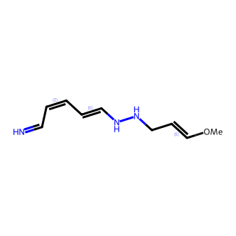 CO/C=C/CNN/C=C/C=C\C=N